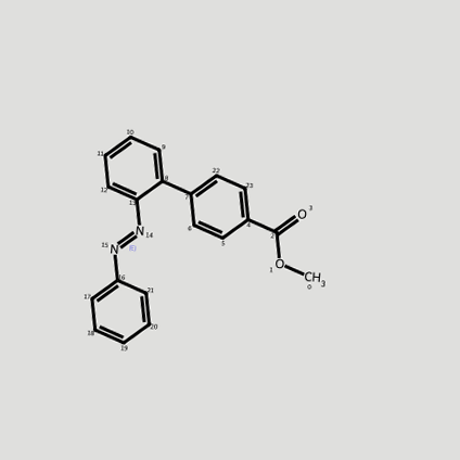 COC(=O)c1ccc(-c2ccccc2/N=N/c2ccccc2)cc1